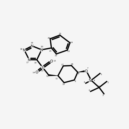 CC(C)(C)[Si](C)(C)O[C@H]1CC[C@@H](CS(=O)(=O)c2nnnn2-c2ccccc2)CC1